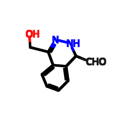 O=CC1NN=C(CO)c2ccccc21